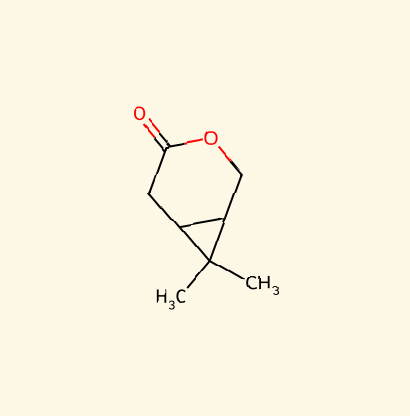 CC1(C)C2COC(=O)CC21